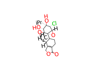 CC(C)[C@]1(O)[C@H](Cl)[C@@H]2O[C@]23C2(O[C@H]2C[C@H]2C4=C(CC[C@@]23C)C(=O)OC4)[C@@H]1O